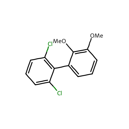 COc1cccc(-c2c(Cl)cccc2Cl)c1OC